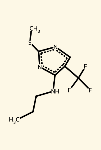 CCCNc1nc(SC)ncc1C(F)(F)F